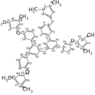 Cc1cc(C)cc(Cc2cccc(-c3cc(Cc4cc(-c5cccc(Oc6cc(C)cc(C)c6)c5)cc(-c5cccc(Oc6cc(C)cc(C)c6)c5)c4)cc(-c4cccc(Oc5cc(C)cc(C)c5)c4)c3)c2)c1